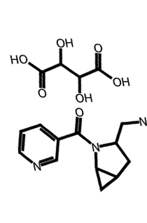 NCC1CC2CC2N1C(=O)c1cccnc1.O=C(O)C(O)C(O)C(=O)O